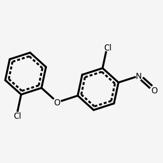 O=Nc1ccc(Oc2ccccc2Cl)cc1Cl